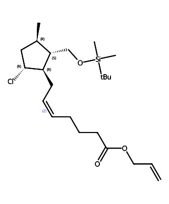 C=CCOC(=O)CCC/C=C\C[C@@H]1[C@@H](CO[Si](C)(C)C(C)(C)C)[C@H](C)C[C@H]1Cl